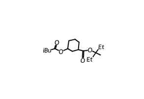 CCC(C)C(=O)OC1CCCC(C(=O)OC(C)(CC)CC)C1